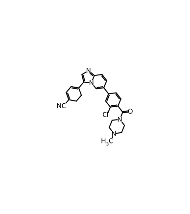 CN1CCN(C(=O)c2ccc(-c3ccc4ncc(C5=CC=C(C#N)CC5)n4c3)cc2Cl)CC1